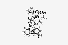 C=CC(CC)N(C(=O)O)c1c(C(=O)C(C)(C)C)oc2nc(-c3ccccc3Cl)c(-c3ccc(Cl)cc3)cc12